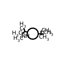 CCC(C1CCCCCCC(C(C)(CC)CC)CCCCC1)[C@@H](C)NC